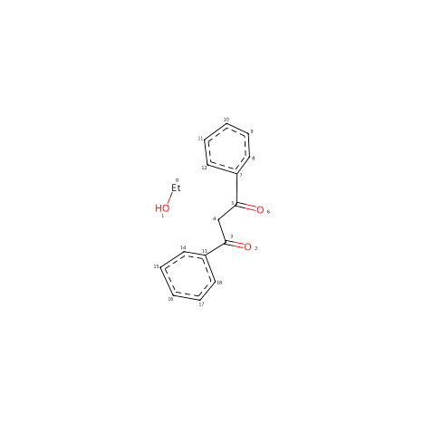 CCO.O=C(CC(=O)c1ccccc1)c1ccccc1